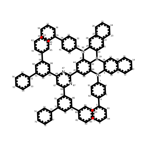 c1ccc(-c2ccc(N3c4cc5ccccc5cc4B4c5cc6ccccc6cc5N(c5ccc(-c6ccccc6)cc5)c5cc(-c6nc(-c7cc(-c8ccccc8)cc(-c8ccccc8)c7)cc(-c7cc(-c8ccccc8)cc(-c8ccccc8)c7)n6)cc3c54)cc2)cc1